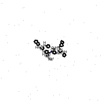 O=S(=O)([O-])c1cc(Nc2cc(Nc3ccccc3)nc(Nc3ccc4ccccc4c3)n2)ccc1/C=C/c1ccc(Nc2cc(Nc3ccccc3)nc(Nc3ccc4ccccc4c3)n2)cc1S(=O)(=O)[O-].[Na+].[Na+]